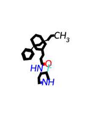 CCC[C@@]12CCC[C@@](c3ccccc3)(CC(CCC(=O)N[C@H]3CCNC[C@@H]3F)C1)C2